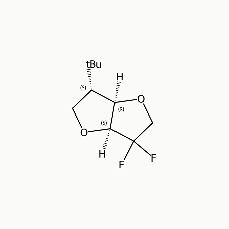 CC(C)(C)[C@H]1CO[C@H]2[C@@H]1OCC2(F)F